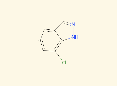 Clc1c[c]cc2cn[nH]c12